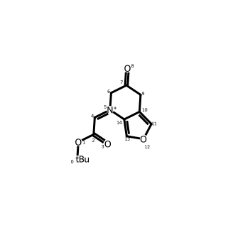 CC(C)(C)OC(=O)/C=[N+]1/CC(=O)Cc2cocc21